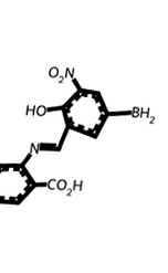 Bc1cc(/C=N/c2ccccc2C(=O)O)c(O)c([N+](=O)[O-])c1